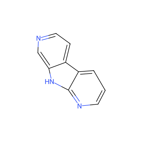 c1cnc2[nH]c3cnccc3c2c1